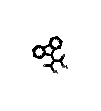 NC(=O)C(C(N)=O)C1c2ccccc2-c2ccccc21